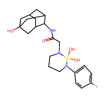 O=C(CN1CCCN(c2ccc(F)cc2)S1(O)O)NC1C2CC3CC1CC(O)(C3)C2